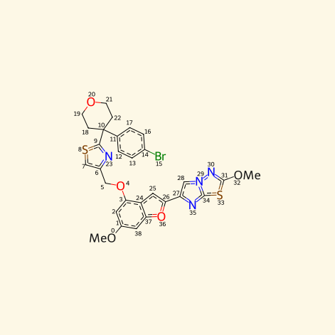 COc1cc(OCc2csc(C3(c4ccc(Br)cc4)CCOCC3)n2)c2cc(-c3cn4nc(OC)sc4n3)oc2c1